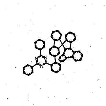 c1ccc(-c2nc(-c3ccccc3)nc(-c3ccccc3-c3ccc4c(c3)C3(c5ccccc5-4)c4ccccc4-c4c3c3ccccc3c3ccccc43)n2)cc1